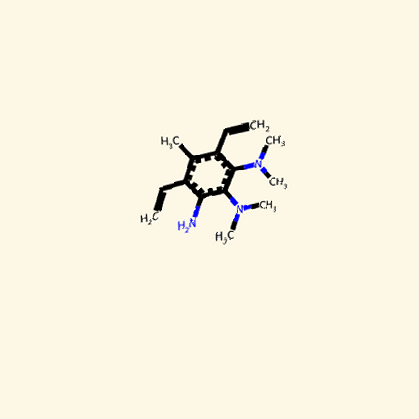 C=Cc1c(C)c(C=C)c(N(C)C)c(N(C)C)c1N